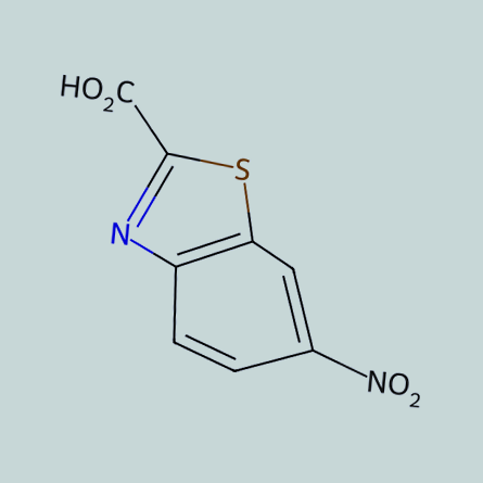 O=C(O)c1nc2ccc([N+](=O)[O-])cc2s1